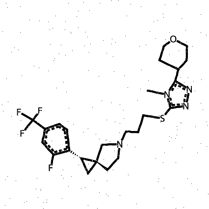 Cn1c(SCCCN2CC[C@]3(C[C@@H]3c3ccc(C(F)(F)F)cc3F)C2)nnc1C1CCOCC1